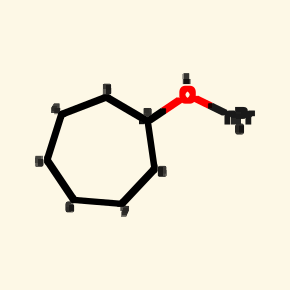 CCCO[C]1CCCCCC1